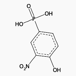 O=[N+]([O-])c1cc(P(=O)(O)O)ccc1O